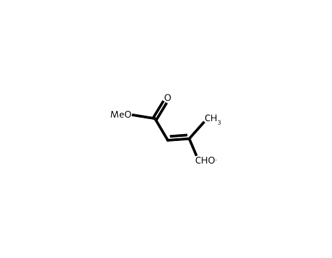 COC(=O)C=C(C)[C]=O